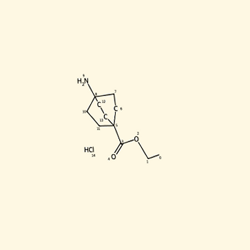 CCOC(=O)C12CCC(N)(CC1)CC2.Cl